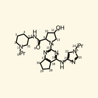 CC(C)N1CCCC(NC(=O)C2CC(O)CN2c2nc3c(c(Nc4cn(C(C)C)cn4)n2)CCC3)C1